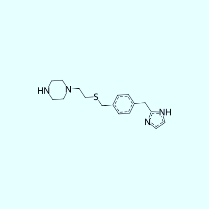 c1c[nH]c(Cc2ccc(CSCCN3CCNCC3)cc2)n1